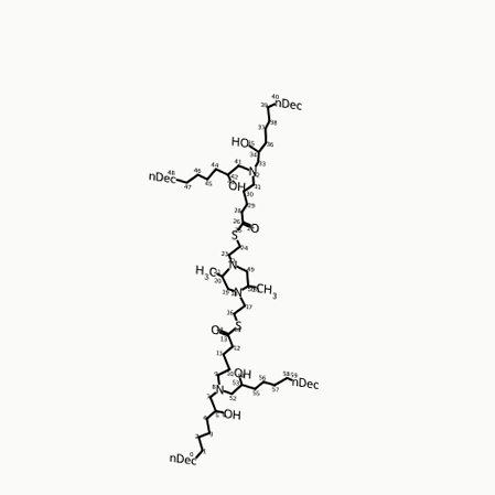 CCCCCCCCCCCCCCC(O)CN(CCCCC(=O)SCCN1CC(C)N(CCSC(=O)CCCCN(CC(O)CCCCCCCCCCCCCC)CC(O)CCCCCCCCCCCCCC)CC1C)CC(O)CCCCCCCCCCCCCC